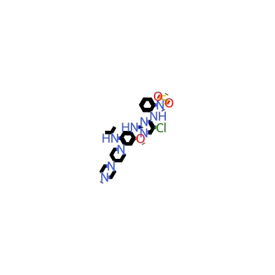 COc1cc(N2CCC(N3CCN(C)CC3)CC2)c(NC(C)C)cc1Nc1ncc(Cl)c(Nc2ccccc2N(C)S(C)(=O)=O)n1